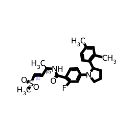 Cc1ccc(C2CCCN2c2ccc(C(=O)N[C@H](C)/C=C/S(C)(=O)=O)c(F)c2)c(C)c1